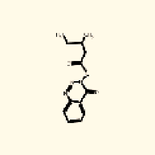 CCC(C)CC(=O)On1nnc2ccccc2c1=O